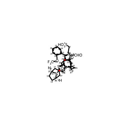 O=CN(CCS(=O)(=O)O)c1cc(F)c2nc(N3[C@@H]4CC[C@H]3C[C@H](OCc3c(-c5ccccc5OC(F)(F)F)noc3C3CC3)C4)sc2c1